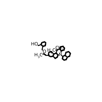 CC(=Cc1ccc2c3c(ccc2c1)N(c1cccc2ccccc12)c1ccccc1C3(C)C)OCc1ccccc1CO